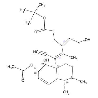 C#C/C(=C(C)\C(=C/CO)CCC(=O)OC(C)(C)C)[C@]12CCN(C)[C@H](C)C1C=C[C@H](OC(C)=O)[C@@H]2O